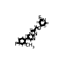 Cc1cc(F)ccc1-c1cnc2nc(COc3ccnc(F)c3)cn2c1